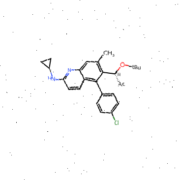 CC(=O)[C@@H](OC(C)(C)C)c1c(C)cc2nc(NC3CC3)ccc2c1-c1ccc(Cl)cc1